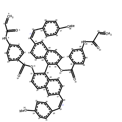 C=CC(=O)Nc1ccc(C(=O)Oc2ccc3cc(/C=C\c4ccc(OC)cc4)ccc3c2-c2c(OC(=O)c3ccc(NC(=O)C=C)cc3)ccc3cc(/C=C\c4ccc(OC)cc4)ccc23)cc1